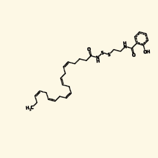 CC/C=C\C/C=C\C/C=C\C/C=C\C/C=C\CCCC(=O)NSSCCNC(=O)c1ccccc1O